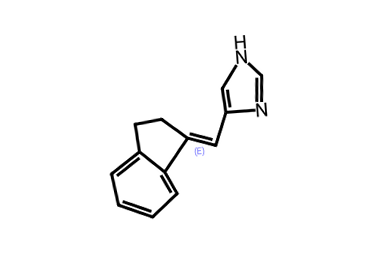 C(=C1/CCc2ccccc21)/c1c[nH]cn1